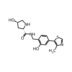 Cc1ncsc1-c1ccc(CNC(=O)[C@@H]2C[C@@H](O)CN2)c(O)c1